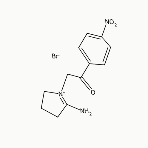 NC1=[N+](CC(=O)c2ccc([N+](=O)[O-])cc2)CCC1.[Br-]